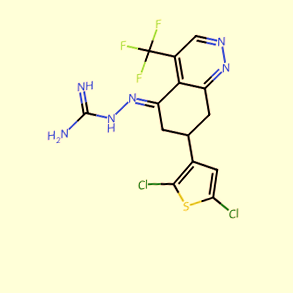 N=C(N)NN=C1CC(c2cc(Cl)sc2Cl)Cc2nncc(C(F)(F)F)c21